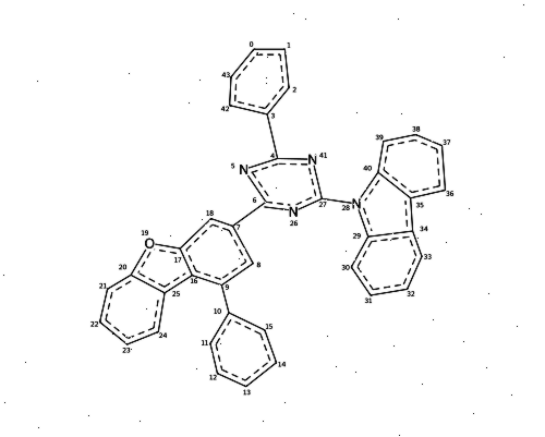 c1ccc(-c2nc(-c3cc(-c4ccccc4)c4c(c3)oc3ccccc34)nc(-n3c4ccccc4c4ccccc43)n2)cc1